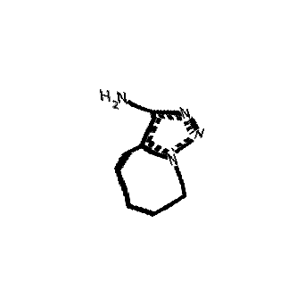 Nc1nnn2c1CCCC2